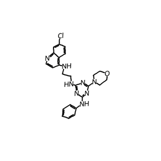 Clc1ccc2c(NCCNc3nc(Nc4ccccc4)nc(N4CCOCC4)n3)ccnc2c1